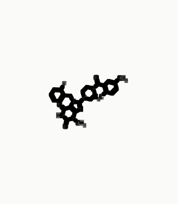 Cc1ccc(C)c(C(=O)N2CCN(c3nc4c(c(=O)[nH]c(=O)n4C)n3Cc3ccccc3F)CC2)c1